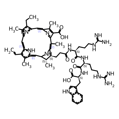 C=Cc1c(C)/c2[nH]/c1=C\c1[nH]c(c(CC)c1C)/C=C1N=C(C(C(=O)O)=C\1C)/C(C)=C1\NC(/C=2)[C@@H](C)[C@@H]1CCC(=O)N[C@@H](CCCNC(=N)N)C(=O)N[C@@H](CCCNC(=N)N)C(=O)N[C@@H](Cc1c[nH]c2ccccc12)C(=O)O